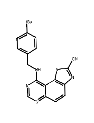 CC(C)(C)c1ccc(CNc2ncnc3ccc4nc(C#N)sc4c23)cc1